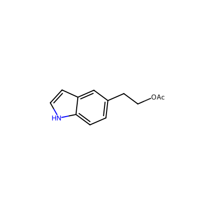 CC(=O)OCCc1ccc2[nH]ccc2c1